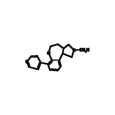 O=C(O)N1CC2CCOc3c(-c4ccncc4)cccc3C2C1